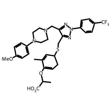 COc1ccc(N2CCN(Cc3nn(-c4ccc(C(F)(F)F)cc4)nc3CSC3C=C(C)C(OC(C)C(=O)O)=CC3)CC2)cc1